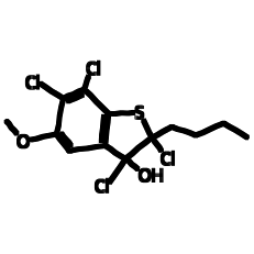 CCCCC1(Cl)Sc2c(cc(OC)c(Cl)c2Cl)C1(O)Cl